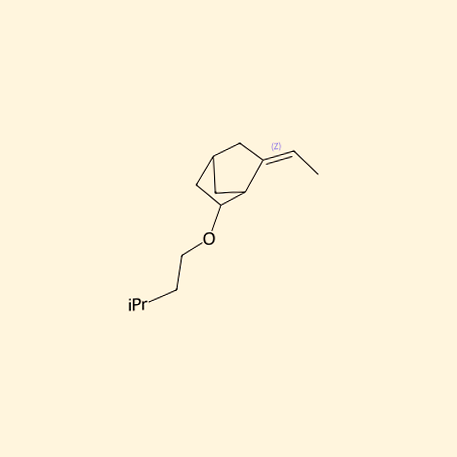 C/C=C1/CC2CC(OCCC(C)C)C1C2